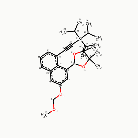 COCOc1cc(B2OC(C)(C)C(C)(C)O2)c2c(C#C[Si](C(C)C)(C(C)C)C(C)C)cccc2c1